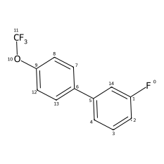 Fc1[c]ccc(-c2ccc(OC(F)(F)F)cc2)c1